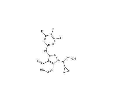 N#CCC(C1CC1)n1nc(Nc2cc(F)c(F)c(F)c2)c2c(=O)[nH]ccc21